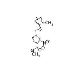 COC(=O)c1ccc(CSc2nnnn2C)cc1[N+](=O)[O-]